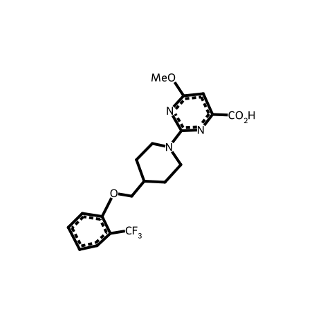 COc1cc(C(=O)O)nc(N2CCC(COc3ccccc3C(F)(F)F)CC2)n1